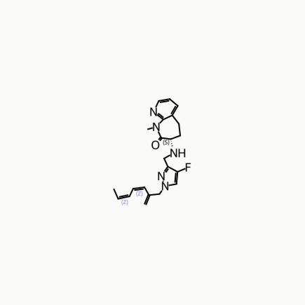 C=C(/C=C\C=C/C)Cn1cc(F)c(CN[C@H]2CCc3cccnc3N(C)C2=O)n1